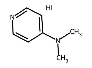 CN(C)c1ccncc1.I